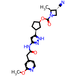 COc1cc(CC(=O)Nc2cc([C@H]3CC[C@@H](OC(=O)N4C[C@@H](C#N)[C@@H]4C)C3)[nH]n2)ccn1